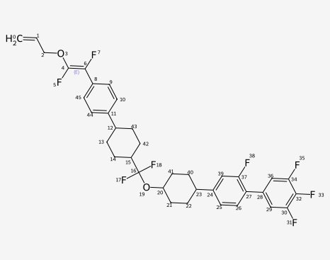 C=CCO/C(F)=C(\F)c1ccc(C2CCC(C(F)(F)OC3CCC(c4ccc(-c5cc(F)c(F)c(F)c5)c(F)c4)CC3)CC2)cc1